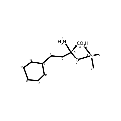 C[Si](C)(C)O[C@@](N)(CCC1CCCCC1)C(=O)O